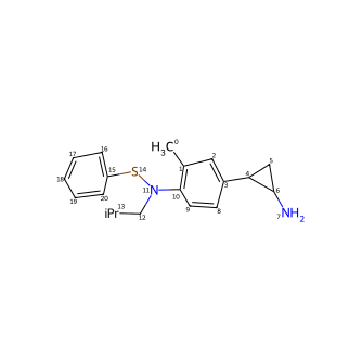 Cc1cc(C2CC2N)ccc1N(CC(C)C)Sc1ccccc1